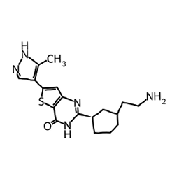 Cc1[nH]ncc1-c1cc2nc([C@@H]3CCCC(CCN)C3)[nH]c(=O)c2s1